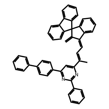 C=C1/C(=C\C=C(/C)c2cc(-c3ccc(-c4ccccc4)cc3)nc(-c3ccccc3)n2)c2ccccc2C12c1ccccc1-c1ccccc12